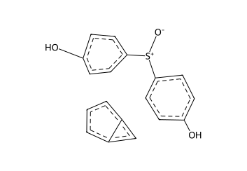 [O-][S+](c1ccc(O)cc1)c1ccc(O)cc1.c1cc2cc-2c1